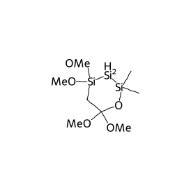 COC1(OC)C[Si](OC)(OC)[SiH2][Si](C)(C)O1